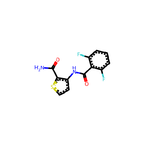 NC(=O)c1sccc1NC(=O)c1c(F)cccc1F